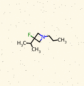 CCCN1CC(F)(C(C)C)C1